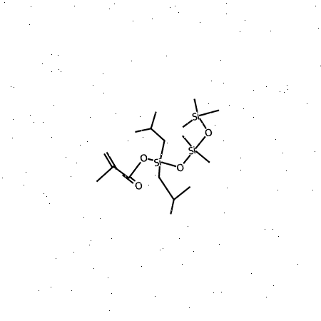 C=C(C)C(=O)O[Si](CC(C)C)(CC(C)C)O[Si](C)(C)O[Si](C)(C)C